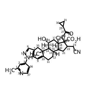 Cc1cc(-n2ncc3c2C=C2CC[C@@H]4[C@H]([C@@H](O)C[C@@]5(C)[C@H]4CC(CC#N)[C@]5(OC(=O)C4CC4)C(=O)O)[C@@]2(C)C3)ccn1